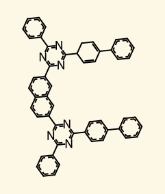 C1=CC(c2nc(-c3ccccc3)nc(-c3ccc4ccc(-c5nc(-c6ccccc6)nc(-c6ccc(-c7ccccc7)cc6)n5)cc4c3)n2)CC=C1c1ccccc1